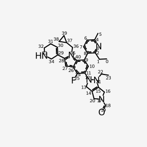 CCc1nc(C)ccc1-c1cc(N2CC3=C(CN(C=O)C3)N2CC)c(F)c2cc(C3=CCCNC3)n(CC3CC3)c12